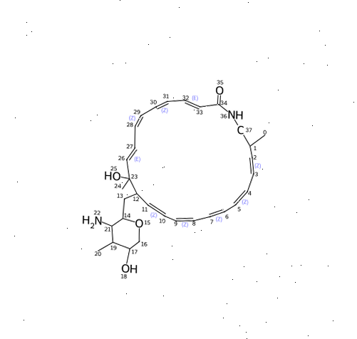 CC1\C=C/C=C\C=C/C=C\C=C/C(CC2OCC(O)C(C)C2N)C(C)(O)/C=C/C=C\C=C/C=C/C(=O)NC1